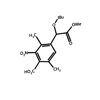 COC(=O)C(OC(C)(C)C)c1cc(C)c(C(=O)O)c([N+](=O)[O-])c1C